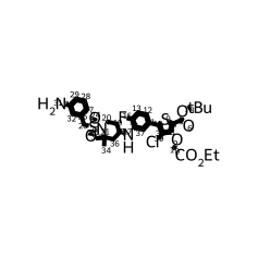 CCOC(=O)COc1c(C(=O)OC(C)(C)C)sc(-c2ccc(F)c(N[C@@H]3CCN(S(=O)(=O)Cc4cccc(N)c4)C(C)(C)C3)c2)c1Cl